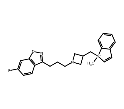 C[N+]1(CC2CN(CCCc3noc4cc(F)ccc34)C2)C=Cc2ccccc21